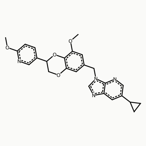 COc1ccc(C2COc3cc(Cn4cnc5cc(C6CC6)cnc54)cc(OC)c3O2)cn1